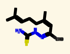 CC(C)=CCCC(C)=CC(C=O)=NNC(N)=S